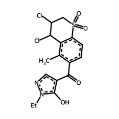 CCn1ncc(C(=O)c2ccc3c(c2C)C(Cl)C(Cl)CS3(=O)=O)c1O